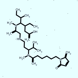 C=C(O)CC(CC)C(C(C)CC)N(C)C(=C)CNCCC(C(C)C)N(C)C(=C)CCCCCN1C(=C)C=CC1=O